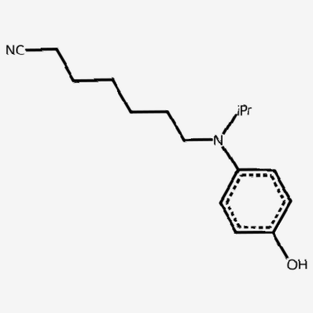 CC(C)N(CCCCCCC#N)c1ccc(O)cc1